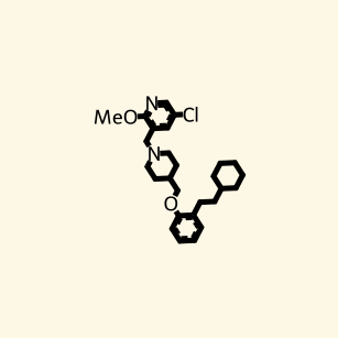 COc1ncc(Cl)cc1CN1CCC(COc2ccccc2CCC2CCCCC2)CC1